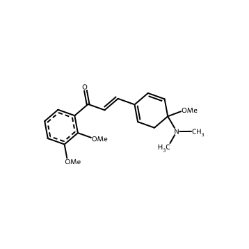 COc1cccc(C(=O)C=CC2=CCC(OC)(N(C)C)C=C2)c1OC